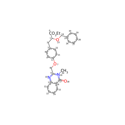 CCOC(=O)C(Cc1ccc(OCc2nc3ccccc3c(=O)n2C)cc1)OCc1ccccc1